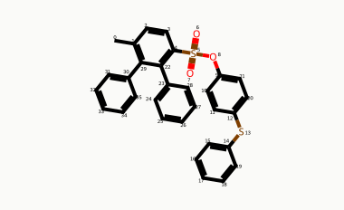 Cc1ccc(S(=O)(=O)Oc2ccc(Sc3ccccc3)cc2)c(-c2ccccc2)c1-c1ccccc1